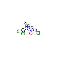 CNc1ccc(Cl)cc1C(=O)N(CCc1ccc(Cl)c(Cl)c1)Cc1ccc(C(C)(C)C)nc1